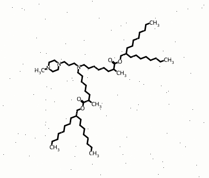 CCCCCCCCC(CCCCCCCC)COC(=O)C(C)CCCCCCN(CCCCCCC(C)C(=O)OCC(CCCCCCCC)CCCCCCCC)CCCN1CCN(C)CC1